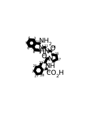 NC1c2ccccc2C=CN1CNC(=O)[C@@H]1CCCN1C(=O)[C@@H](CC1CCCCC1)NCC(=O)O